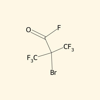 O=C(F)C(Br)(C(F)(F)F)C(F)(F)F